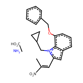 C/C(=C\c1cc2cccc(OCc3ccccc3)c2n1CC1CC1)[N+](=O)[O-].CC(=O)O.N